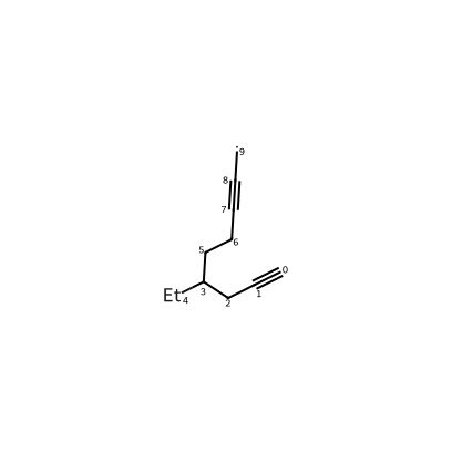 C#CCC(CC)CCC#C[CH2]